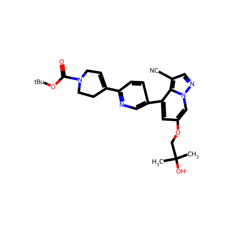 CC(C)(O)COc1cc(-c2ccc(C3=CCN(C(=O)OC(C)(C)C)CC3)nc2)c2c(C#N)cnn2c1